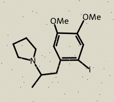 COc1cc(I)c(CC(C)N2CCCC2)cc1OC